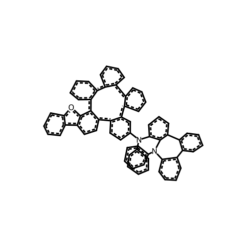 c1ccc(N(c2ccc3c(c2)c2ccccc2c2ccccc2c2ccccc2c2c3ccc3c4ccccc4oc32)c2cccc3c2N(c2ccccc2)c2ccccc2-c2ccccc2-3)cc1